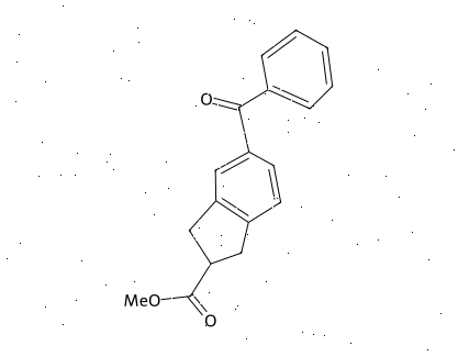 COC(=O)C1Cc2ccc(C(=O)c3ccccc3)cc2C1